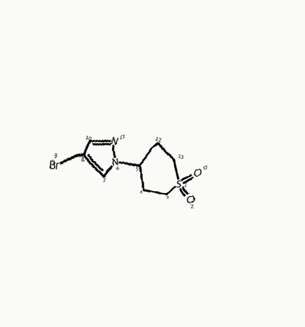 O=S1(=O)CCC(n2cc(Br)cn2)CC1